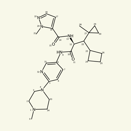 CN1CCN(c2ccc(NC(=O)[C@@H](NC(=O)c3ccnn3C)C(C3CCC3)C3(C)CC3)cn2)CC1